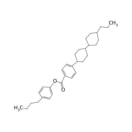 CCCCc1ccc(OC(=O)c2ccc(C3CCC(C4CCC(CCC)CC4)CC3)cc2)cc1